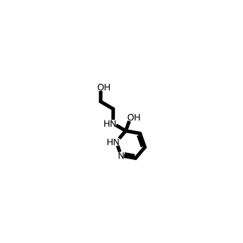 OCCNC1(O)C=CC=NN1